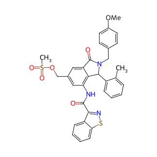 COc1ccc(CN2C(=O)c3cc(COS(C)(=O)=O)cc(NC(=O)c4nsc5ccccc45)c3C2c2ccccc2C)cc1